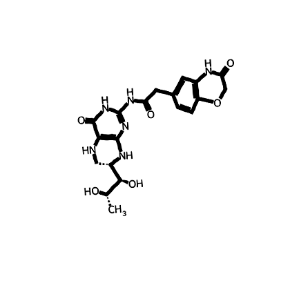 C[C@H](O)[C@H](O)[C@@H]1CNc2c(nc(NC(=O)Cc3ccc4c(c3)NC(=O)CO4)[nH]c2=O)N1